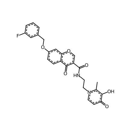 Cc1c(O)c(=O)ccn1CCNC(=O)c1coc2cc(OCc3cccc(F)c3)ccc2c1=O